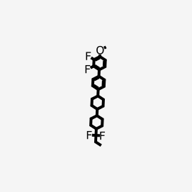 CCC(F)(F)C1CCC(C2CCC(c3ccc(-c4ccc(OC)c(F)c4F)cc3)CC2)CC1